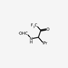 CC(C)C(N[C]=O)C(=O)C(F)(F)F